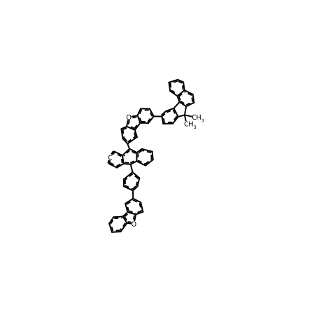 CC1(C)c2ccc(-c3ccc4oc5ccc(-c6c7ccccc7c(-c7ccc(-c8ccc9oc%10ccccc%10c9c8)cc7)c7ccccc67)cc5c4c3)cc2-c2c1ccc1ccccc21